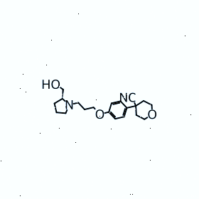 N#CC1(c2ccc(OCCCN3CCC[C@H]3CO)cc2)CCOCC1